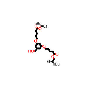 CCCCC(CC)COC(=O)CCCCOc1cc(CO)cc(OCCCCC(=O)OC(CC)CCCC)c1